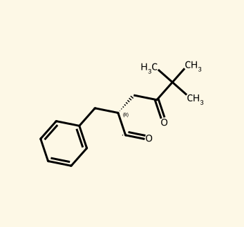 CC(C)(C)C(=O)C[C@H]([C]=O)Cc1ccccc1